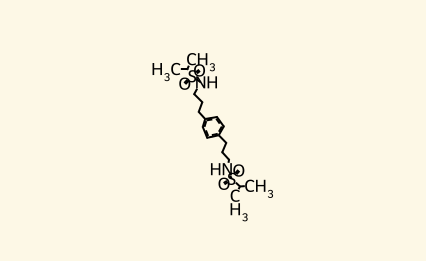 CC(C)S(=O)(=O)NCCCc1ccc(CCCNS(=O)(=O)C(C)C)cc1